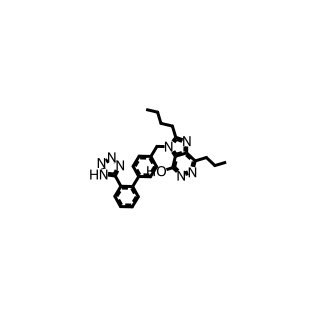 CCCCc1nc2c(CCC)nnc(O)c2n1Cc1ccc(-c2ccccc2-c2nnn[nH]2)cc1